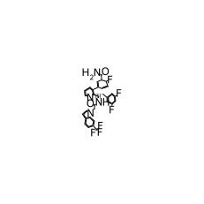 NC(=O)C1C=C(c2cccnc2[C@H](Cc2cc(F)cc(F)c2)NC(=O)Cn2ccc3ccc(C(F)(F)F)cc32)C=CC1F